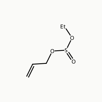 C=CCOS(=O)OCC